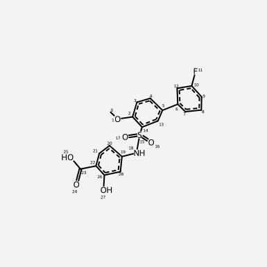 COc1ccc(-c2cccc(F)c2)cc1S(=O)(=O)Nc1ccc(C(=O)O)c(O)c1